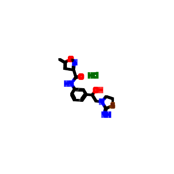 Cc1cc(C(=O)Nc2cccc(C(O)CN3CCSC3=N)c2)no1.Cl